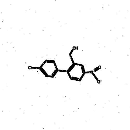 O=[N+]([O-])c1ccc(-c2ccc(Cl)cc2)c(CO)c1